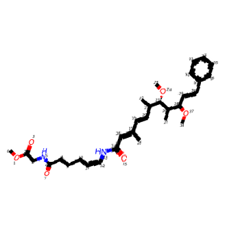 COC(=O)CNC(=O)CCC/C=C\NC(=O)/C=C(C)/C=C/C(C)[C@H](OC)C(C)C(/C=C/c1ccccc1)OC